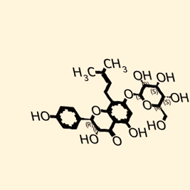 CC(C)=CCc1c(O[C@@H]2O[C@H](CO)[C@@H](O)[C@H](O)[C@H]2O)cc(O)c2c1O[C@H](c1ccc(O)cc1)[C@@H](O)C2=O